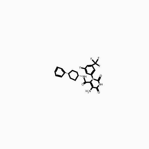 Nc1c(C(=O)N[C@H]2CC[C@@H](c3ccccc3)CC2)n(-c2cc(F)cc(C(F)(F)F)c2)c(=O)[nH]c1=O